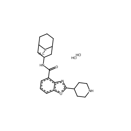 CN1C2CCCC1CC(NC(=O)c1cccc3oc(C4CCNCC4)nc13)C2.Cl.Cl